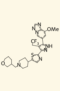 COc1cc(-c2[nH]nc(-c3ncc(C4CCN(CC5CCCOC5)CC4)s3)c2CC(F)(F)F)cn2ncnc12